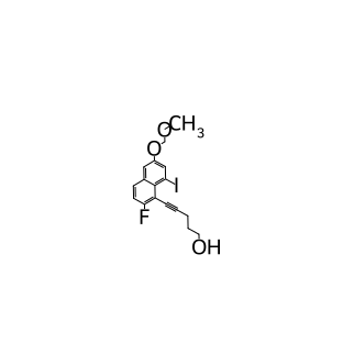 COCOc1cc(I)c2c(C#CCCCO)c(F)ccc2c1